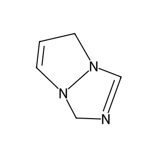 C1=CN2CN=CN2C1